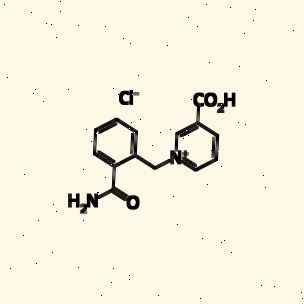 NC(=O)c1ccccc1C[n+]1cccc(C(=O)O)c1.[Cl-]